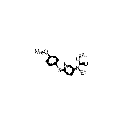 CCN(C(=O)OC(C)(C)C)c1ccc(Sc2ccc(OC)cc2)nc1